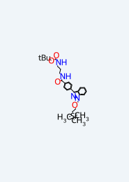 CC(C)(C)OC(=O)NCCCNC(=O)c1ccc(-c2nn(COCC[Si](C)(C)C)c3ccccc23)cc1